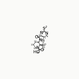 CSc1ncc2c(n1)C(=O)N(C1CCCN(C(=O)O)C1C(C)(C)C)C2